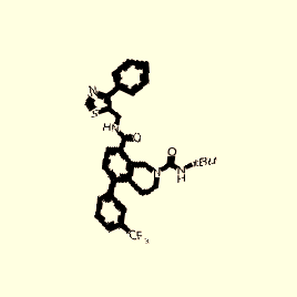 CC(C)(C)NC(=O)N1CCc2c(-c3cccc(C(F)(F)F)c3)ccc(C(=O)NCc3scnc3-c3ccccc3)c2C1